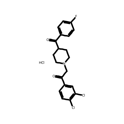 Cl.O=C(CN1CCC(C(=O)c2ccc(F)cc2)CC1)c1ccc(Cl)c(Cl)c1